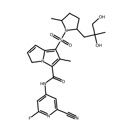 Cc1c(S(=O)(=O)N2C(C)CCC2CC(C)(O)CO)c2n(c1C(=O)Nc1cc(F)nc(C#N)c1)CC=C2